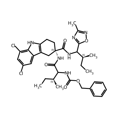 CC[C@H](C)C(NC(=O)OCc1ccccc1)C(=O)N[C@@]1(C(=O)NC(c2nc(C)no2)[C@@H](C)CC)CCc2[nH]c3c(Cl)cc(Cl)cc3c2C1